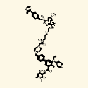 CCN(c1cc(-c2ccc(CN3CCN(CC(=O)NCCCOCCNC(C(=O)N4C[C@H](O)C[C@H]4C(=O)NCc4ccc(-c5scnc5C)cc4)C(C)(C)C)CC3)cc2)cc(C(=O)NCc2c(C)cc(C)[nH]c2=O)c1C)C1CCOCC1